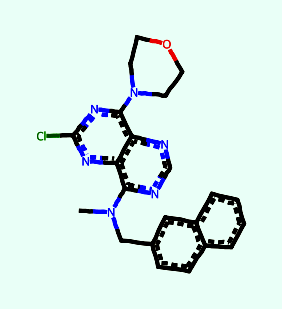 CN(Cc1ccc2ccccc2c1)c1ncnc2c(N3CCOCC3)nc(Cl)nc12